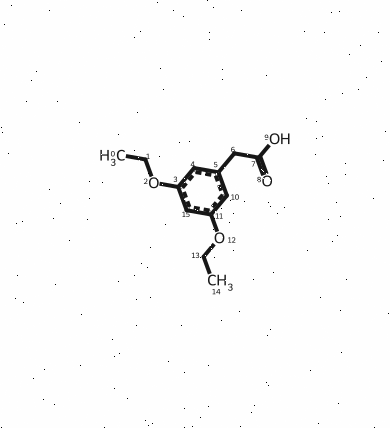 CCOc1cc(CC(=O)O)cc(OCC)c1